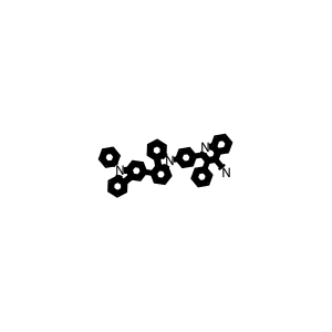 N#Cc1c(-c2ccccc2)c(-c2ccc(-n3c4ccccc4c4c(-c5ccc6c(c5)c5ccccc5n6-c5ccccc5)cccc43)cc2)nc2ccccc12